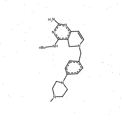 CCCCNc1nc(N)nc2c1CN(Cc1ccc(N3CCN(C)CC3)cc1)C=C2